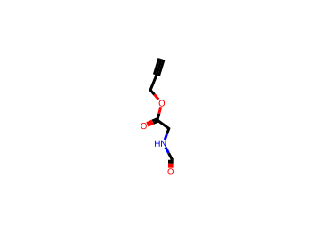 C#CCOC(=O)CNC=O